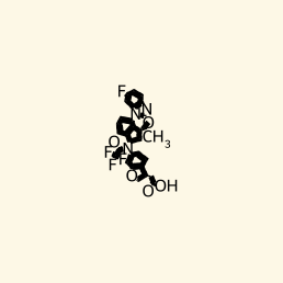 CCOc1nc2ccc(F)cc2n1-c1cccc2c1CCC2N(C(=O)C(F)(F)F)c1ccc2c(c1)OC[C@H]2CC(=O)O